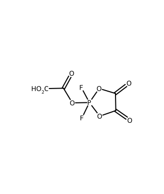 O=C(O)C(=O)OP1(F)(F)OC(=O)C(=O)O1